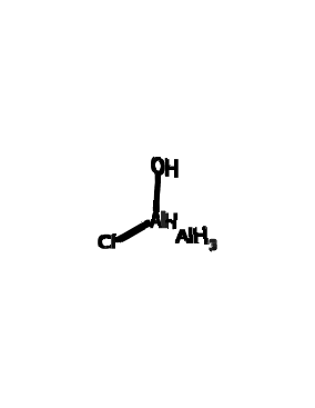 [AlH3].[OH][AlH][Cl]